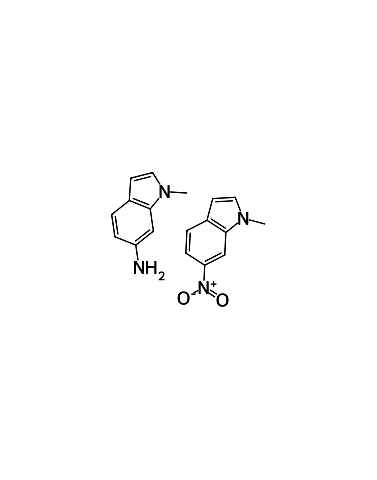 Cn1ccc2ccc(N)cc21.Cn1ccc2ccc([N+](=O)[O-])cc21